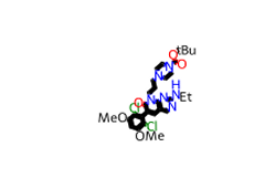 CCNc1ncc2cc(-c3c(Cl)c(OC)cc(OC)c3Cl)c(=O)n(CCCN3CCN(C(=O)OC(C)(C)C)CC3)c2n1